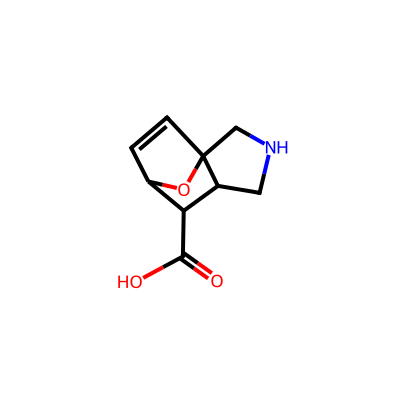 O=C(O)C1C2C=CC3(CNCC13)O2